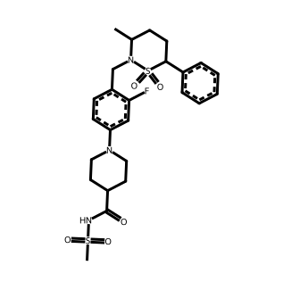 CC1CCC(c2ccccc2)S(=O)(=O)N1Cc1ccc(N2CCC(C(=O)NS(C)(=O)=O)CC2)cc1F